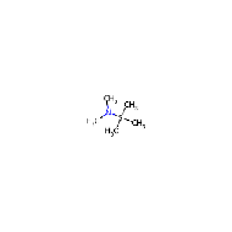 [CH2]N(C)[Si](C)(C)C